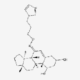 C[C@@]12CCC[C@H]1[C@@H]1C(=NOCCCn3ccnc3)C=C3CC(O)CC(O)[C@]3(C)[C@@H]1CC2